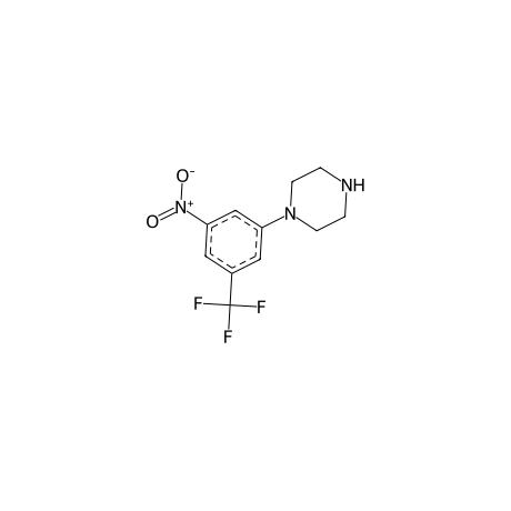 O=[N+]([O-])c1cc(N2CCNCC2)cc(C(F)(F)F)c1